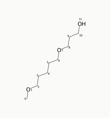 COCCCCCOCCCO